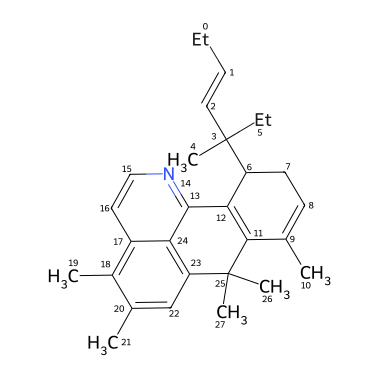 CCC=CC(C)(CC)C1CC=C(C)C2=C1c1nccc3c(C)c(C)cc(c13)C2(C)C